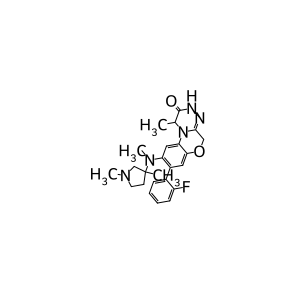 CC1C(=O)NN=C2COc3cc(-c4ccccc4F)c(N(C)C4(C)CCN(C)C4)cc3N21